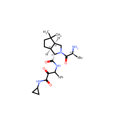 CCCC(NC(=O)[C@@H]1[C@H]2CCC(C)(C)[C@H]2CN1C(=O)[C@@H](N)C(C)(C)C)C(=O)C(=O)NC1CC1